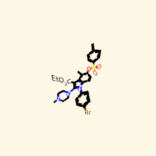 CCOC(=O)c1c(N2CCN(C)CC2)n(-c2ccc(Br)cc2)c2ccc(OS(=O)(=O)c3ccc(C)cc3)c(C)c12